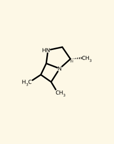 CC1C(C)N2C1NC[C@@H]2C